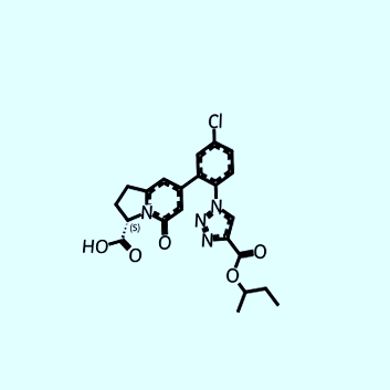 CCC(C)OC(=O)c1cn(-c2ccc(Cl)cc2-c2cc3n(c(=O)c2)[C@H](C(=O)O)CC3)nn1